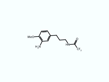 COc1ccc(CCCNC(=O)C(F)(F)F)cc1N